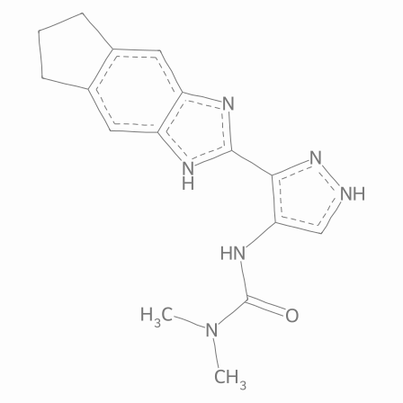 CN(C)C(=O)Nc1c[nH]nc1-c1nc2cc3c(cc2[nH]1)CCC3